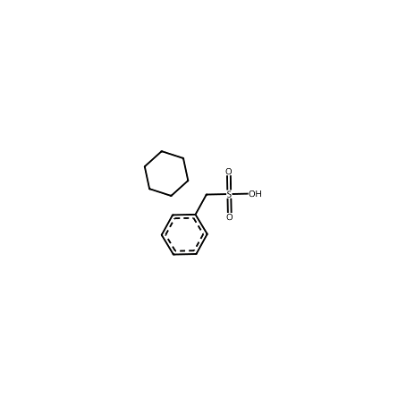 C1CCCCC1.O=S(=O)(O)Cc1ccccc1